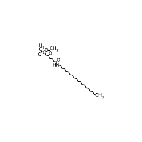 CCCCCCCCCCCCCCCCCCCNC(=O)CCC[C@@H](COC(C)=O)OC(C)=O